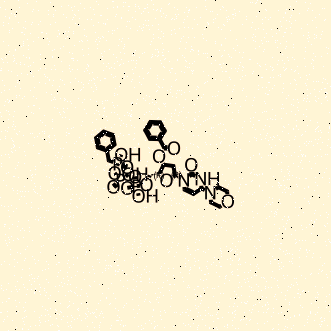 O=C(OC1C[C@H](N2C=CC(N3CCOCC3)NC2=O)O[C@@H]1COP(=O)(O)OP(=O)(O)OP(=O)(O)Cc1ccccc1)c1ccccc1